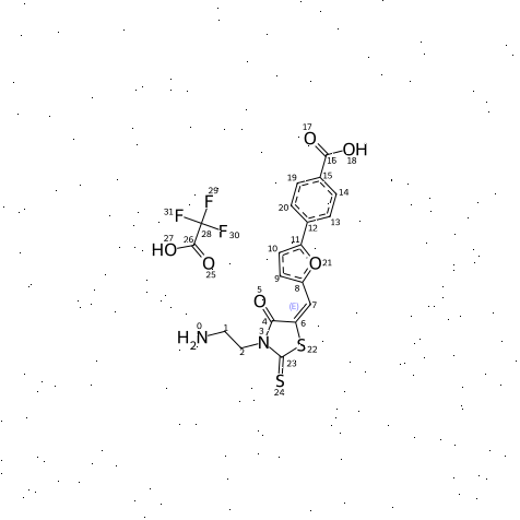 NCCN1C(=O)/C(=C\c2ccc(-c3ccc(C(=O)O)cc3)o2)SC1=S.O=C(O)C(F)(F)F